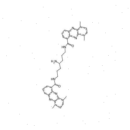 Cc1ccc(C)c2nc3c(C(=O)NCCCC(N)CCCNC(=O)c4cccc5nc6c(C)ccc(C)c6nc45)cccc3nc12